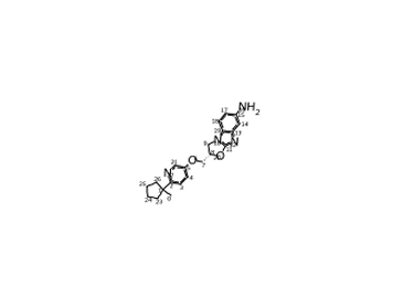 CC1(c2ccc(OC[C@@H]3Cn4c(nc5cc(N)ccc54)O3)cn2)CCCC1